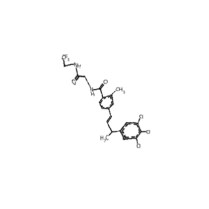 Cc1cc(/C=C/C(C)c2cc(Cl)c(Cl)c(Cl)c2)ccc1C(=O)NCC(=O)NCC(F)(F)F